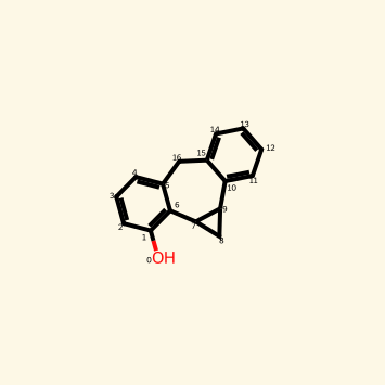 Oc1cccc2c1C1CC1c1ccccc1C2